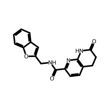 O=C1CCc2ccc(C(=O)NCc3cc4ccccc4o3)nc2N1